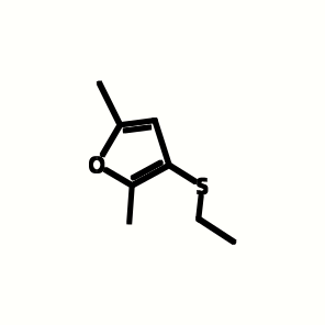 CCSc1cc(C)oc1C